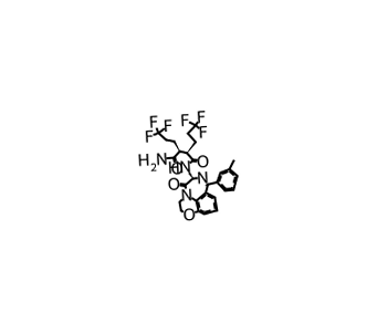 Cc1cccc(C2=N[C@H](NC(=O)[C@H](CCC(F)(F)F)[C@H](CCC(F)(F)F)C(N)=O)C(=O)N3CCOc4cccc2c43)c1